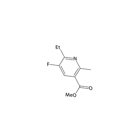 CCc1nc(C)c(C(=O)OC)cc1F